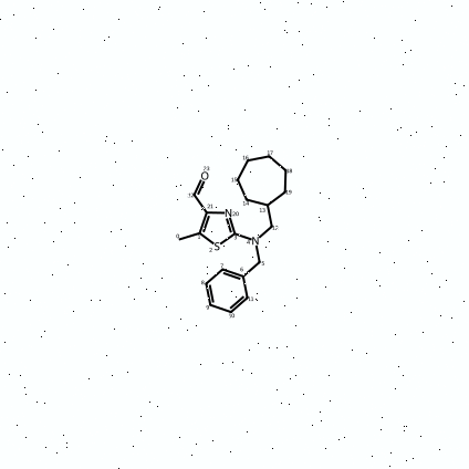 Cc1sc(N(Cc2ccccc2)CC2CCCCCC2)nc1C=O